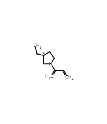 C=CC(=C)N1CC[C@H](CC)C1